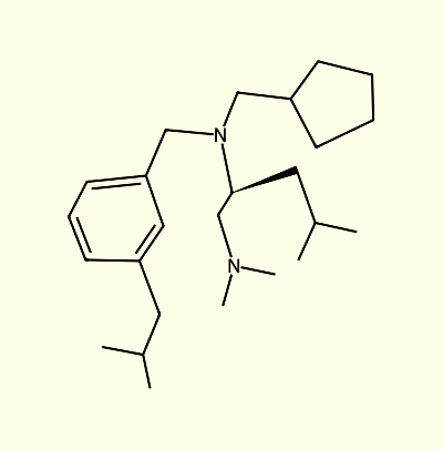 CC(C)Cc1cccc(CN(CC2CCCC2)[C@@H](CC(C)C)CN(C)C)c1